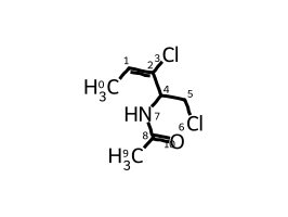 C/C=C(/Cl)C(CCl)NC(C)=O